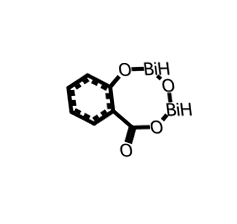 O=C1[O][BiH][O][BiH][O]c2ccccc21